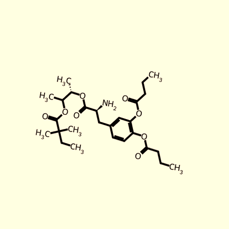 CCCC(=O)Oc1ccc(C[C@H](N)C(=O)O[C@@H](C)C(C)OC(=O)C(C)(C)CC)cc1OC(=O)CCC